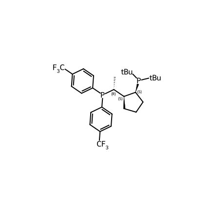 C[C@H]([C@@H]1CCC[C@@H]1P(C(C)(C)C)C(C)(C)C)P(c1ccc(C(F)(F)F)cc1)c1ccc(C(F)(F)F)cc1